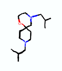 CC(C)CN1CCC2(CC1)CN(CC(C)C)CCO2